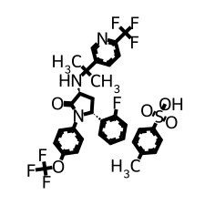 CC(C)(N[C@@H]1C[C@H](c2ccccc2F)N(c2ccc(OC(F)(F)F)cc2)C1=O)c1ccc(C(F)(F)F)nc1.Cc1ccc(S(=O)(=O)O)cc1